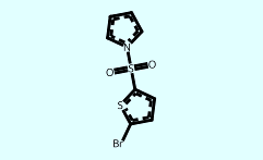 O=S(=O)(c1ccc(Br)s1)n1cccc1